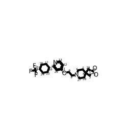 O=S1(=O)CC2(CCN(CCOc3ccnc([C@H]4CC[C@@H](C(F)(F)F)CC4)c3)CC2)C1